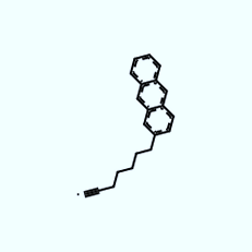 [C]#CCCCCCc1ccc2cc3ccccc3cc2c1